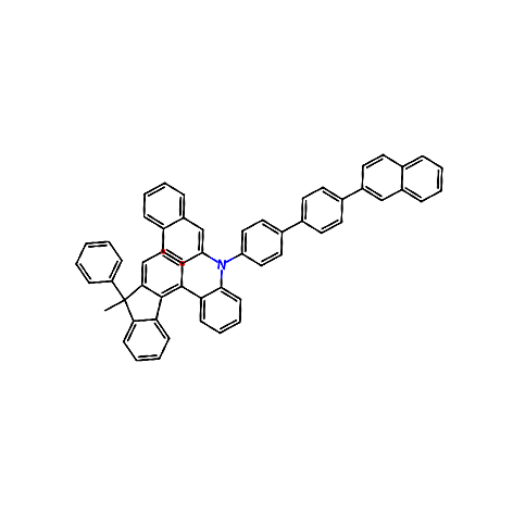 CC1(c2ccccc2)c2ccccc2-c2c(-c3ccccc3N(c3ccc(-c4ccc(-c5ccc6ccccc6c5)cc4)cc3)c3ccc4ccccc4c3)cccc21